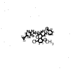 COc1ccc(Cl)cc1-c1cc(-n2ccccc2=O)ncc1C(=O)Nc1nc2ncc(C3CC3)nc2s1